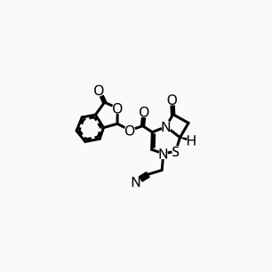 N#CCN1C=C(C(=O)OC2OC(=O)c3ccccc32)N2C(=O)C[C@@H]2S1